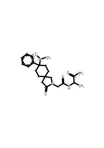 CC(NC(=O)CN1CC2(CCC(c3ccccc3)(N(C)C)CC2)CC1=O)C(N)=O